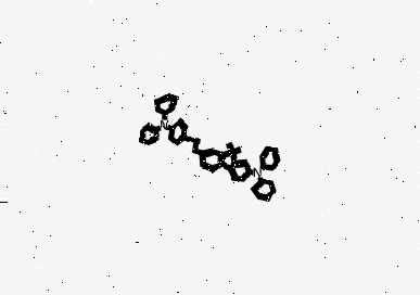 CC1(C)c2cc(CCc3ccc(N(c4ccccc4)C4C=CC=CC4)cc3)ccc2-c2ccc(N(C3=CC=CCC3)c3ccccc3)cc21